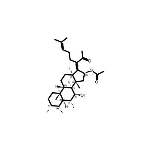 CC(=O)O[C@H]1C[C@@]2(C)[C@@H](CC[C@H]3[C@@]4(C)CC[C@@H](C)[C@@H](C)[C@@H]4[C@@H](C)[C@H](O)[C@@]32C)/C1=C(\CCC=C(C)C)C(C)=O